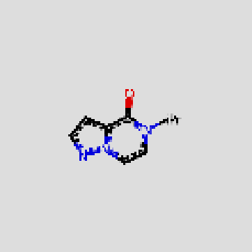 CC(C)n1ccn2nccc2c1=O